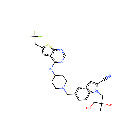 CC(O)(CO)Cn1c(C#N)cc2cc(CN3CCC(Nc4ncnc5sc(CC(F)(F)F)cc45)CC3)ccc21